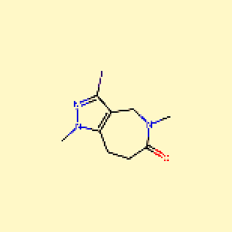 CN1Cc2c(I)nn(C)c2CCC1=O